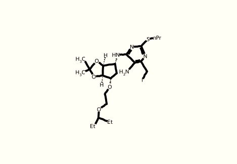 CCCSc1nc(CI)c(N)c(N[C@@H]2C[C@H](OCCOC(CC)CC)[C@H]3OC(C)(C)O[C@H]32)n1